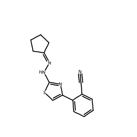 N#Cc1ccccc1-c1csc(NN=C2CCCC2)n1